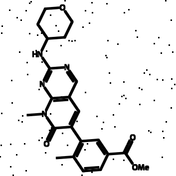 COC(=O)c1ccc(C)c(-c2cc3cnc(NC4CCOCC4)nc3n(C)c2=O)c1